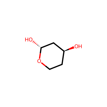 O[C@H]1CCO[C@H](O)C1